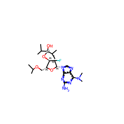 CC(C)OC[C@H]1O[C@@H](n2cnc3c(N(C)C)nc(N)nc32)[C@](C)(F)[C@@H]1O[Si](O)(C(C)C)C(C)C